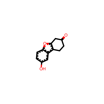 O=C1CCc2c(oc3ccc(O)cc23)C1